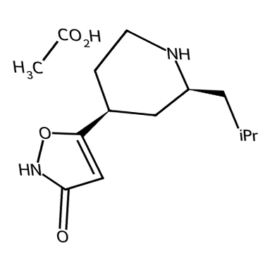 CC(=O)O.CC(C)C[C@H]1C[C@@H](c2cc(=O)[nH]o2)CCN1